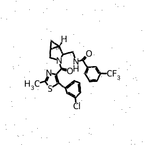 Cc1nc(C(=O)N2CC3C[C@@H]3C2CNC(=O)c2cccc(C(F)(F)F)c2)c(-c2cccc(Cl)c2)s1